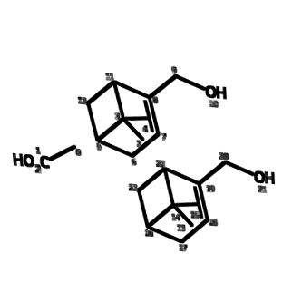 CC(=O)O.CC1(C)C2CC=C(CO)C1C2.CC1(C)C2CC=C(CO)C1C2